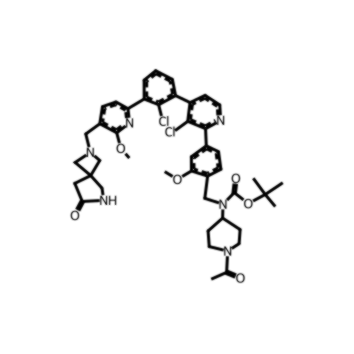 COc1cc(-c2nccc(-c3cccc(-c4ccc(CN5CC6(CNC(=O)C6)C5)c(OC)n4)c3Cl)c2Cl)ccc1CN(C(=O)OC(C)(C)C)C1CCN(C(C)=O)CC1